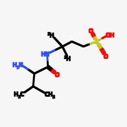 [2H]C([2H])(CCS(=O)(=O)O)NC(=O)C(N)C(C)C